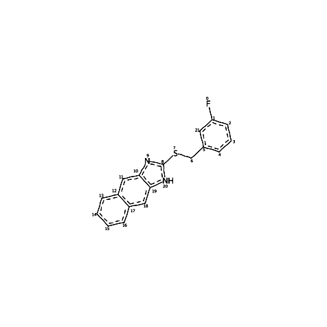 Fc1cccc(CSc2nc3cc4ccccc4cc3[nH]2)c1